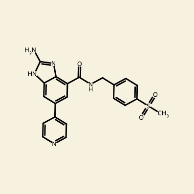 CS(=O)(=O)c1ccc(CNC(=O)c2cc(-c3ccncc3)cc3[nH]c(N)nc23)cc1